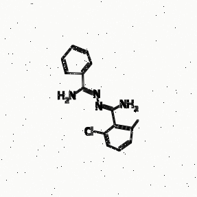 Cc1cccc(Cl)c1/C(N)=N/N=C(\N)c1ccccc1